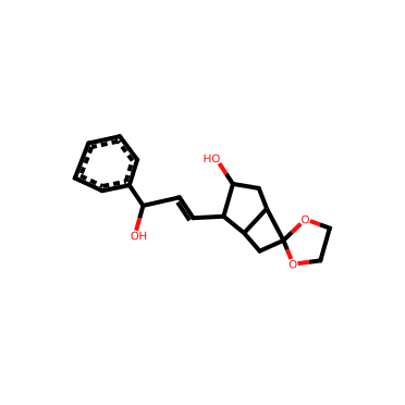 OC(C=CC1C(O)CC2C1CC21OCCO1)c1ccccc1